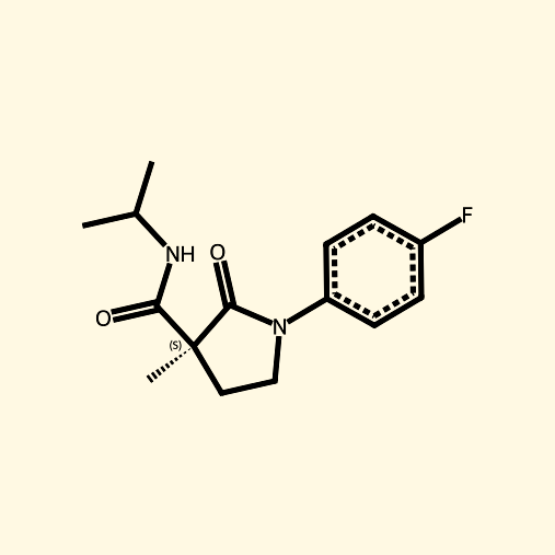 CC(C)NC(=O)[C@]1(C)CCN(c2ccc(F)cc2)C1=O